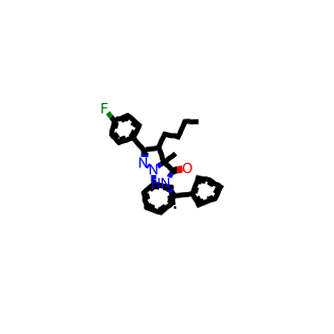 CCCCC1C(c2ccc(F)cc2)=NN(c2ccccc2)C1(C)C(=O)N[C@@H](C)c1ccccc1